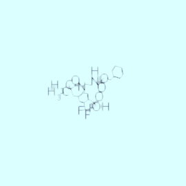 CC1(C)Cc2cc(C(F)(F)F)c(C(=O)O)cc2N(CCNC(=O)OCc2ccccc2)C1=O